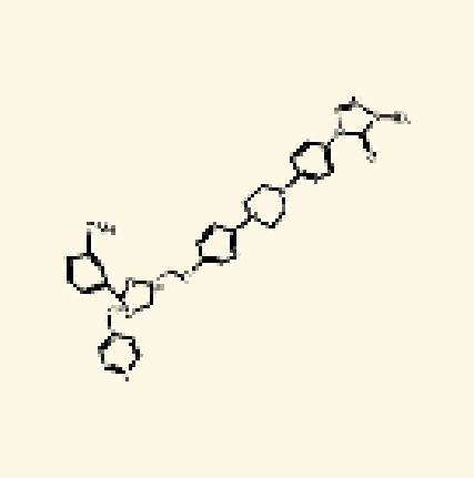 CCC(C)n1ncn(-c2ccc(N3CCN(c4ccc(OC[C@@H]5CO[C@@](Cc6ccnnc6)(c6cccc(OC)c6)O5)cc4)CC3)cc2)c1=O